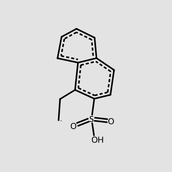 [CH2]Cc1c(S(=O)(=O)O)ccc2ccccc12